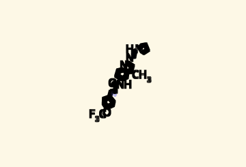 Cc1cc(NCCN2CCCC2)nc2ccc(NC(=O)/C=C/c3ccc(OC(F)(F)F)cc3)cc12